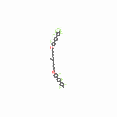 C=CC(CCCCCCCOc1ccc(-c2ccc(-c3cc(F)c(C)c(F)c3)c(F)c2)c(F)c1)CCCCCCCOc1ccc(-c2ccc(-c3cc(F)c(C(F)(F)F)c(F)c3)c(F)c2)c(F)c1